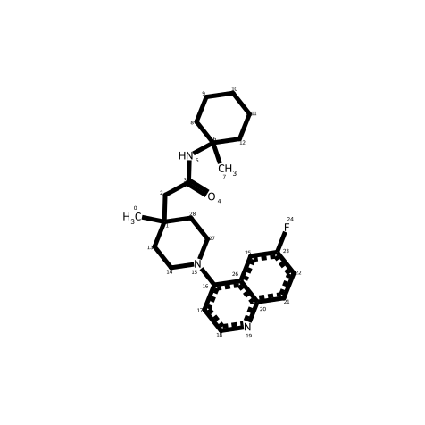 CC1(CC(=O)NC2(C)CCCCC2)CCN(c2ccnc3ccc(F)cc23)CC1